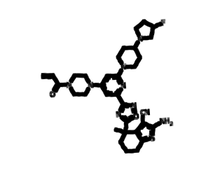 C=CC(=O)N1CCN(c2cc(-c3noc(C4(C)CCCc5sc(N)c(C#N)c54)n3)nc(N3CCC(N4CCC(F)C4)CC3)c2)CC1